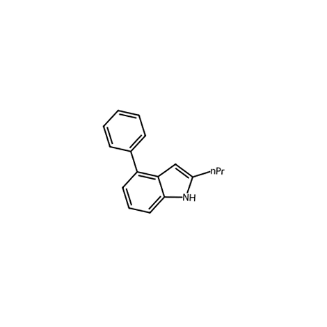 CCCc1cc2c(-c3ccccc3)cccc2[nH]1